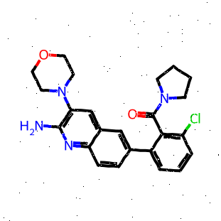 Nc1nc2ccc(-c3cccc(Cl)c3C(=O)N3CCCC3)cc2cc1N1CCOCC1